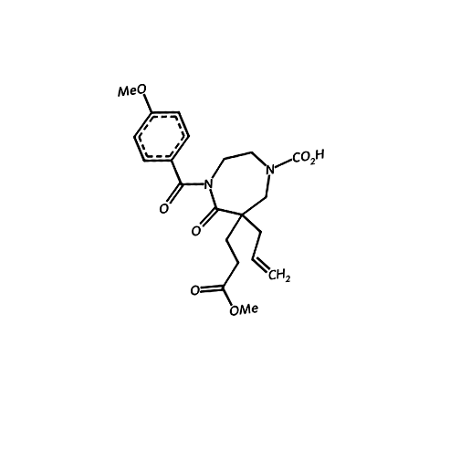 C=CCC1(CCC(=O)OC)CN(C(=O)O)CCN(C(=O)c2ccc(OC)cc2)C1=O